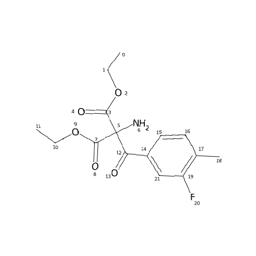 CCOC(=O)C(N)(C(=O)OCC)C(=O)c1ccc(C)c(F)c1